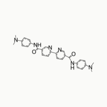 CN(C)c1ccc(NC(=O)c2ccc(-c3ccc(C(=O)Nc4ccc(N(C)C)cc4)cn3)nc2)cc1